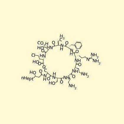 C/C=C1\NC(=O)[C@H](Cc2ccccc2)NC(=O)[C@H](CCCN=C(N)N)NC(=O)[C@@H](CCN)NC(=O)[C@@H](CCN)NC(=O)[C@@H](CO)NC(=O)[C@@H](NC(=O)C[C@H](O)CCCCCCC)COC(=O)[C@H]([C@H](O)CCl)NC(=O)[C@H]([C@H](O)C(=O)O)NC1=O